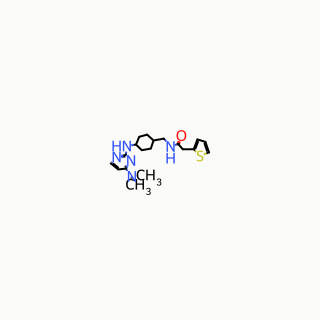 CN(C)c1ccnc(NC2CCC(CNC(=O)Cc3cccs3)CC2)n1